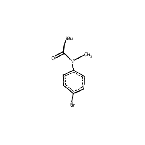 CCC(C)C(=O)N(C)c1ccc(Br)cc1